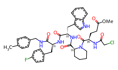 COC(=O)CC[C@@H](NC(=O)CCl)C(=O)N1CCCC[C@H]1C(=O)N[C@@H](Cc1c[nH]c2ccccc12)C(=O)N[C@@H](Cc1ccc(F)cc1)C(=O)NCc1ccc(C)cc1